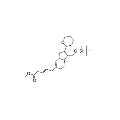 COC(=O)CC=CCC1=CC2CC(C3CCCCO3)C(CO[Si](C)(C)C(C)(C)C)C2CC1